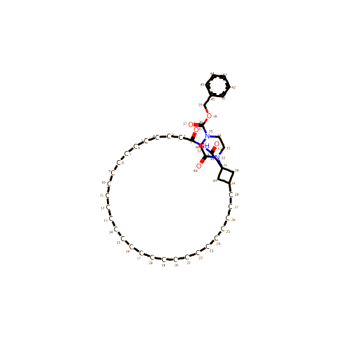 O=C1CCCCCCCCCCCCCCCCCCCCCCCCCCCC2CC(N3CCN(C(=O)OCc4ccccc4)CC3=O)(C2)C(=O)N1